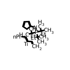 C=CC=CCCC.CCC(C)(C)P(=NC1=CC=CC1)(C(C)(C)CC)C(C)(C)CC.[Ti]